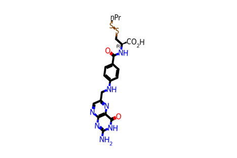 CCCSSC[C@H](NC(=O)c1ccc(NCc2cnc3nc(N)[nH]c(=O)c3n2)cc1)C(=O)O